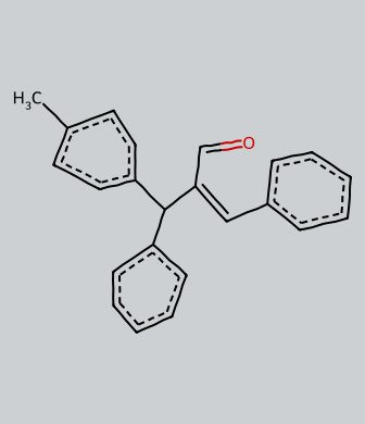 Cc1ccc(C(C(C=O)=Cc2ccccc2)c2ccccc2)cc1